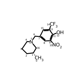 C[C@@H]1CCCN(Cc2cc([N+](=O)[O-])c(O)c(C(F)(F)F)c2)C1